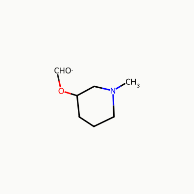 CN1CCCC(O[C]=O)C1